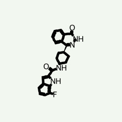 O=C(N[C@H]1CC[C@H](c2n[nH]c(=O)c3ccccc32)CC1)c1cc2cccc(F)c2[nH]1